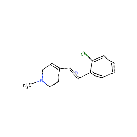 CN1CC=C(/C=C/c2ccccc2Cl)CC1